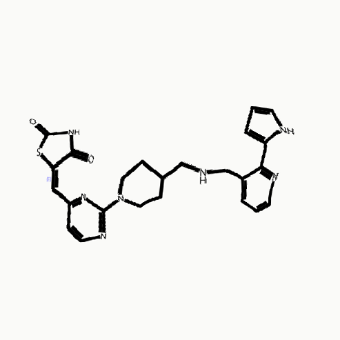 O=C1NC(=O)/C(=C\c2ccnc(N3CCC(CNCc4cccnc4-c4ccc[nH]4)CC3)n2)S1